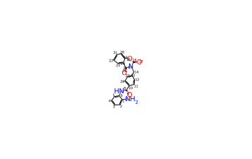 Nc1ccccc1NC(=O)c1ccc(Cn2c(=O)oc3ccccc3c2=O)cc1